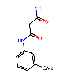 COc1cccc(NC(=O)CC(N)=O)c1